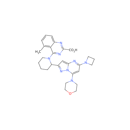 Cc1cccc2nc(C(=O)O)nc(N3CCCCC3c3cc4nc(N5CCC5)cc(N5CCOCC5)n4n3)c12